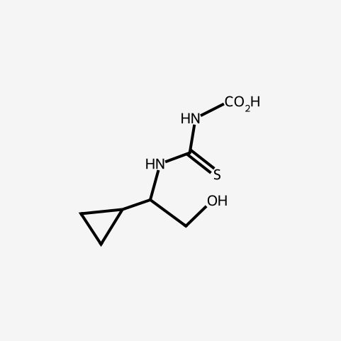 O=C(O)NC(=S)NC(CO)C1CC1